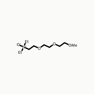 CC[N+]([O-])(CC)CCOCCOCCOC